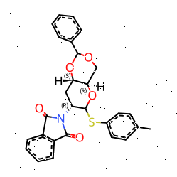 Cc1ccc(SC2O[C@@H]3COC(c4ccccc4)O[C@H]3C[C@H]2N2C(=O)c3ccccc3C2=O)cc1